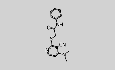 CN(C)c1ccnc(SCC(=O)Nc2ccccc2)c1C#N